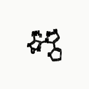 Nc1nonc1-n1nncc1-c1cccs1